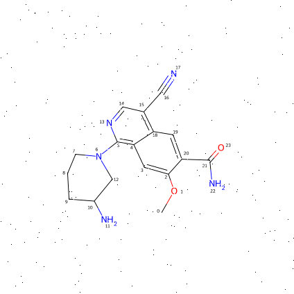 COc1cc2c(N3CCCC(N)C3)ncc(C#N)c2cc1C(N)=O